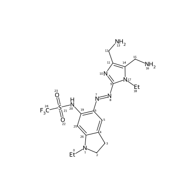 CCN1CCc2cc(N=Nc3nc(CN)c(CN)n3CC)c(NS(=O)(=O)C(F)(F)F)cc21